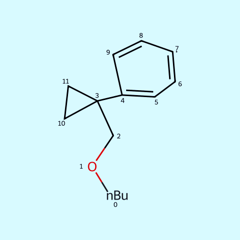 CCCCOCC1(c2cc[c]cc2)CC1